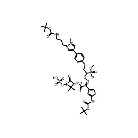 COP(=O)(O)C(COc1ccc(-c2cn(CCCNC(=O)OC(C)(C)C)[n+](C)c2)cc1)O/N=C(\C(=O)N[C@@H]1C(=O)N(OS(=O)(=O)O)C1(C)C)c1csc(NC(=O)OC(C)(C)C)n1